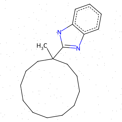 CC1(C2=Nc3ccccc3[N]2)CCCCCCCCCCC1